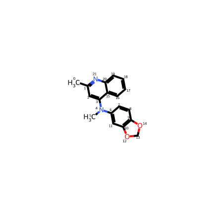 Cc1cc(N(C)c2ccc3c(c2)OCO3)c2ccccc2n1